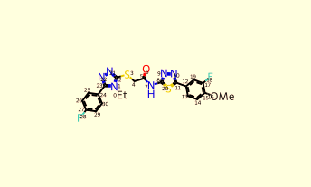 CCn1c(SCC(=O)Nc2nnc(-c3ccc(OC)c(F)c3)s2)nnc1-c1ccc(F)cc1